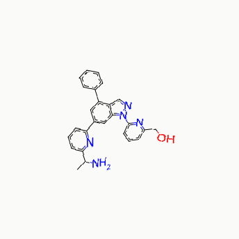 CC(N)c1cccc(-c2cc(-c3ccccc3)c3cnn(-c4cccc(CO)n4)c3c2)n1